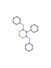 c1ccc(CN2CCCN(Cc3ccccc3)B2c2ccccc2)cc1